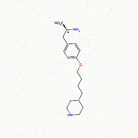 N[C@@H](Cc1ccc(OCCCCC2CCNCC2)cc1)C(=O)O